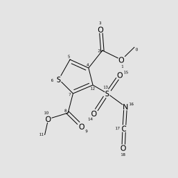 COC(=O)c1csc(C(=O)OC)c1S(=O)(=O)N=C=O